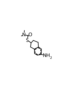 CN(C)C(=O)SC1CCc2cc(N)ccc2C1